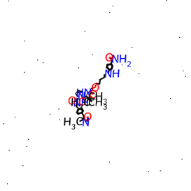 Cc1ncoc1-c1ccc(CNC(=O)[C@@H]2CCCN2C(=O)[C@@H](NC(=O)COCCCCCNc2ccc(C(N)=O)cc2)C(C)(C)C)cc1